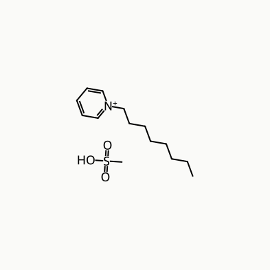 CCCCCCCC[n+]1ccccc1.CS(=O)(=O)O